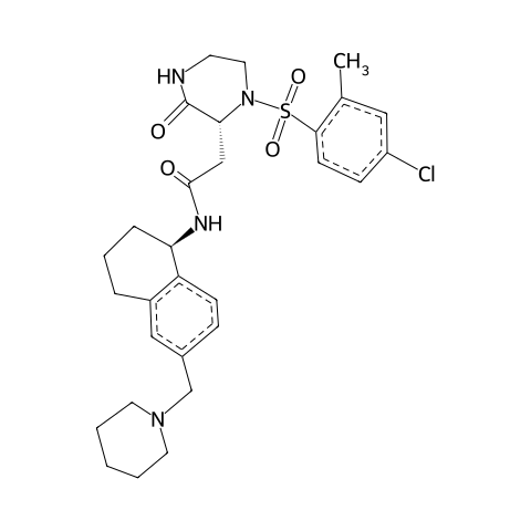 Cc1cc(Cl)ccc1S(=O)(=O)N1CCNC(=O)[C@H]1CC(=O)N[C@@H]1CCCc2cc(CN3CCCCC3)ccc21